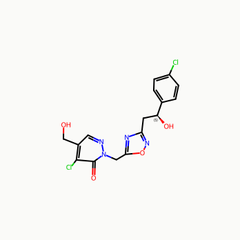 O=c1c(Cl)c(CO)cnn1Cc1nc(C[C@H](O)c2ccc(Cl)cc2)no1